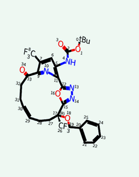 CC(C)(C)OC(=O)Nc1cc(C(F)(F)F)c2nc1-c1nnc(o1)[C@@](OCc1ccccc1)(C(F)(F)F)CCC=CCCC2=O